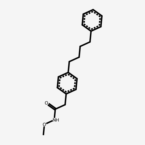 CONC(=O)Cc1ccc(CCCCc2ccccc2)cc1